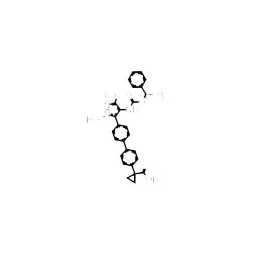 Cc1nn(C)c(-c2ccc(-c3ccc(C4(C(=O)O)CC4)cc3)cc2)c1NC(=O)O[C@H](C)c1ccccc1